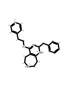 c1ccc(CC2N=C(OCCc3ccncc3)C3=C(CCNCC3)N2)cc1